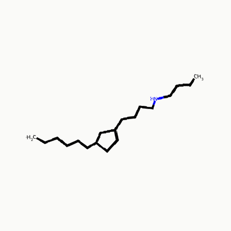 [CH2]CCCCCC1CCC(CCCCNCCCC)C1